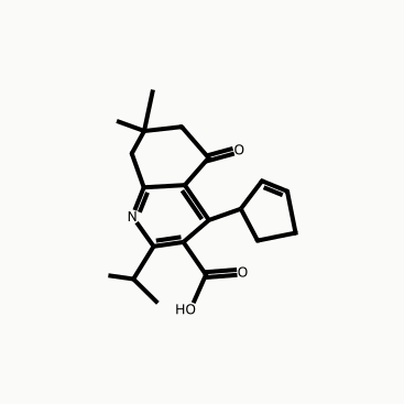 CC(C)c1nc2c(c(C3C=CCC3)c1C(=O)O)C(=O)CC(C)(C)C2